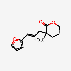 O=C(O)C1(CC=Cc2ccco2)CCCOC1=O